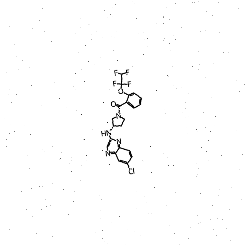 O=C(c1ccccc1OC(F)(F)C(F)F)N1CC[C@@H](Nc2cnc3cc(Cl)ccc3n2)C1